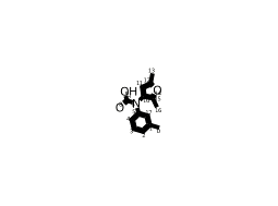 Cc1cccc(N(C(=O)O)c2cc(C)oc2C)c1